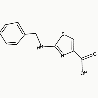 O=C(O)c1csc(NCc2ccccc2)n1